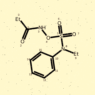 CCC(=O)NOS(=O)(=O)N(CC)c1ccccc1